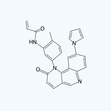 C=CC(=O)Nc1cc(-n2c(=O)ccc3cnc4ccc(-n5cccc5)cc4c32)ccc1C